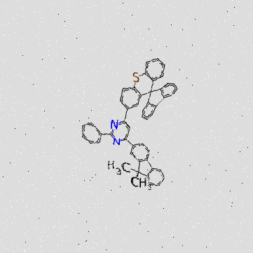 CC1(C)c2ccccc2-c2ccc(-c3cc(-c4ccc5c(c4)C4(c6ccccc6S5)c5ccccc5-c5ccccc54)nc(-c4ccccc4)n3)cc21